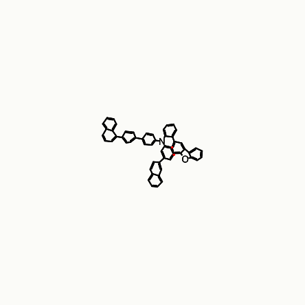 c1cc(-c2ccc3ccccc3c2)cc(N(c2ccc(-c3ccc(-c4cccc5ccccc45)cc3)cc2)c2ccccc2-c2ccc3oc4ccccc4c3c2)c1